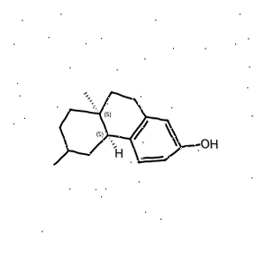 CC1CC[C@@]2(C)CCc3cc(O)ccc3[C@H]2C1